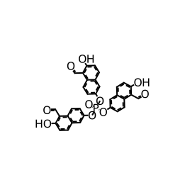 O=Cc1c(O)ccc2cc(OP(=O)(Oc3ccc4c(C=O)c(O)ccc4c3)Oc3ccc4c(C=O)c(O)ccc4c3)ccc12